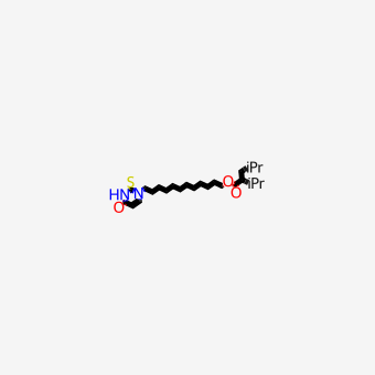 CC(C)CC(C(=O)OCCCCCCCCCCCCn1ccc(=O)[nH]c1=S)C(C)C